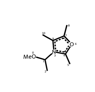 COC(C)[n+]1c(C)oc(C)c1C